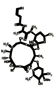 CC/C=C\CC(=O)NC(C)C(=O)N(C)[C@H]1C[C@@H](C)O[C@@H](O[C@@H]2[C@@H](C)[C@H](O[C@H]3C[C@@](C)(OC)[C@@H](O)[C@H](C)O3)[C@@H](C)C(=O)O[C@H](CC)[C@@](C)(O)[C@H](O)[C@@H](C)N(C)C[C@H](C)C[C@@]2(C)O)[C@@H]1O